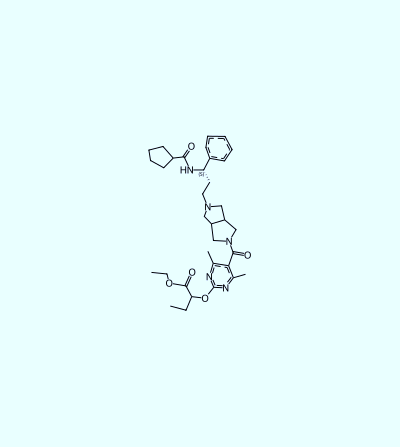 CCOC(=O)C(CC)Oc1nc(C)c(C(=O)N2CC3CN(CC[C@H](NC(=O)C4CCCC4)c4ccccc4)CC3C2)c(C)n1